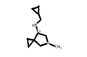 CN1C[C@H](NCC2CC2)C2(CC2)C1